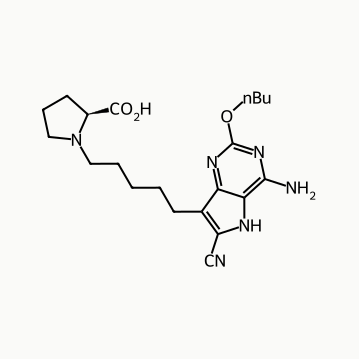 CCCCOc1nc(N)c2[nH]c(C#N)c(CCCCCN3CCC[C@H]3C(=O)O)c2n1